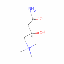 C[N+](C)(C)C[C@H](O)CC(N)=O